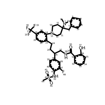 CN(C)C1(Cc2ccccc2)CCN(c2cc(C(F)(F)F)ccc2CCC(CNC(=O)c2ccccc2O)c2ccc(NS(C)(=O)=O)c(F)c2)CC1